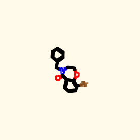 O=C1c2cccc(Br)c2OCCN1Cc1ccccc1